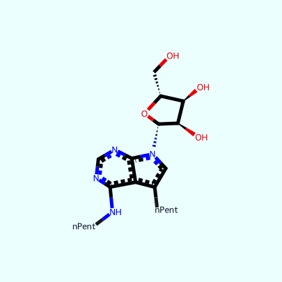 CCCCCNc1ncnc2c1c(CCCCC)cn2[C@@H]1O[C@H](CO)[C@@H](O)[C@H]1O